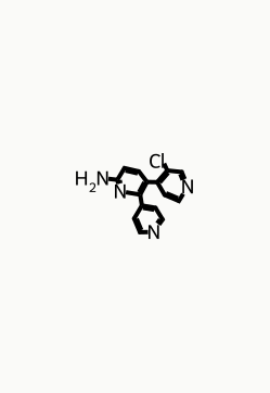 Nc1ccc(-c2ccncc2Cl)c(-c2ccncc2)n1